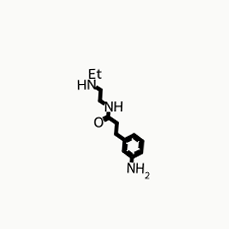 CCNCCNC(=O)CCc1cccc(N)c1